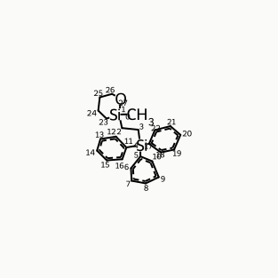 C[Si]1(CC[Si](c2ccccc2)(c2ccccc2)c2ccccc2)CCCCO1